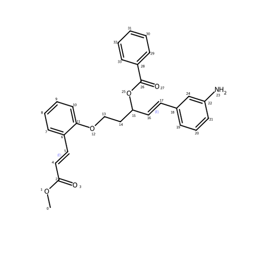 COC(=O)/C=C/c1ccccc1OCCC(/C=C/c1cccc(N)c1)OC(=O)c1ccccc1